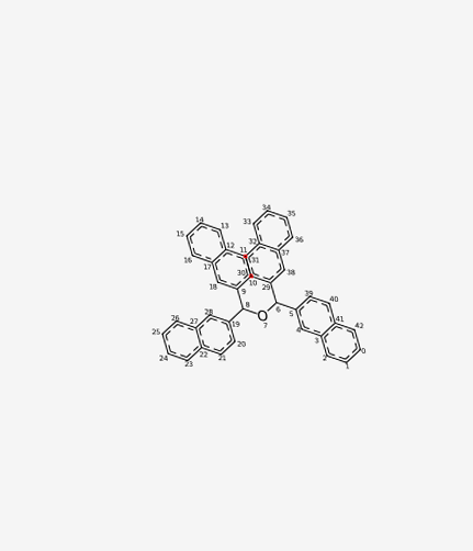 c1ccc2cc(C(OC(c3ccc4ccccc4c3)c3ccc4ccccc4c3)c3ccc4ccccc4c3)ccc2c1